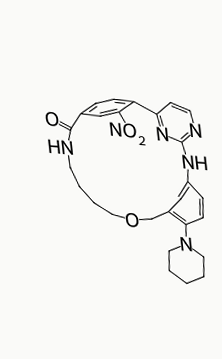 O=C1NCCCCOCc2cc(ccc2N2CCCCC2)Nc2nccc(n2)-c2ccc1cc2[N+](=O)[O-]